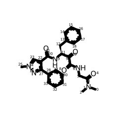 CN(C)C(=O)CNC(=O)C(=O)[C@H](Cc1ccccc1)NC(=O)c1cn(C)nc1-c1ccccc1